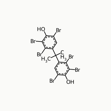 CC(C)(c1cc(Br)c(O)c(Br)c1Br)c1cc(Br)c(O)c(Br)c1Br